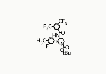 Cc1ccc([C@@H]2CN(C(=O)OC(C)(C)C)CCC2NC(=O)c2cc(C(F)(F)F)cc(C(F)(F)F)c2)cc1F